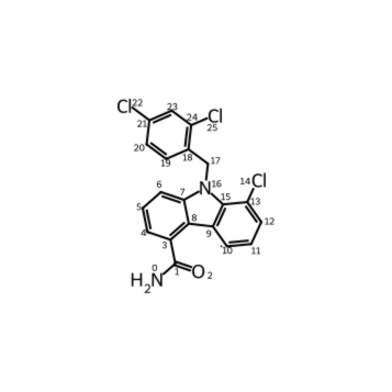 NC(=O)c1cccc2c1c1[c]ccc(Cl)c1n2Cc1ccc(Cl)cc1Cl